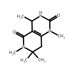 CC1NC(=O)N(C)C2=C1C(=O)N(C)C(C)(C)C2